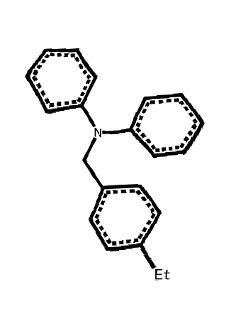 CCc1ccc(CN(c2ccccc2)c2ccccc2)cc1